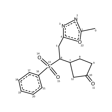 Cc1nnc(CC(C2CCC(=O)C2)S(=O)(=O)c2ccccc2)o1